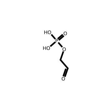 O=CCOP(=O)(O)O